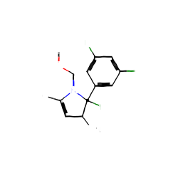 CCOCN1C(C(F)(F)F)=CC(C#N)C1(Br)c1cc(F)cc(F)c1